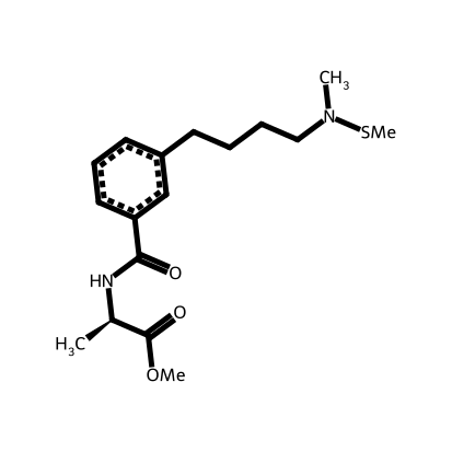 COC(=O)[C@@H](C)NC(=O)c1cccc(CCCCN(C)SC)c1